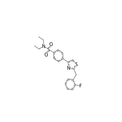 CCN(CC)S(=O)(=O)c1ccc(-c2csc(Cc3ccccc3F)n2)cc1